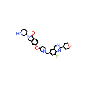 O=C1c2ccc(O[C@H]3CCN(Cc4cc(F)c5nc(C6CCOCC6)ncc5c4)C3)cc2CN1[C@H]1CCCNC1